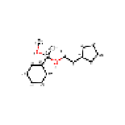 CCO[Si](C)(OCCC1CCCC1)C1CCCCC1